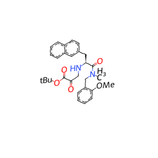 COc1ccccc1CN(C)C(=O)[C@H](Cc1ccc2ccccc2c1)NCC(=O)C(=O)OC(C)(C)C